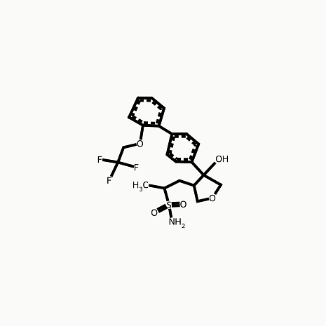 CC(CC1COCC1(O)c1ccc(-c2ccccc2OCC(F)(F)F)cc1)S(N)(=O)=O